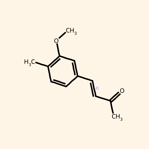 COc1cc(/C=C/C(C)=O)ccc1C